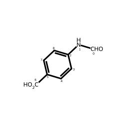 O=CNc1ccc(C(=O)O)cc1